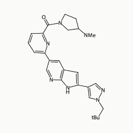 CNC1CCN(C(=O)c2cccc(-c3cnc4[nH]c(-c5cnn(CC(C)(C)C)c5)cc4c3)n2)C1